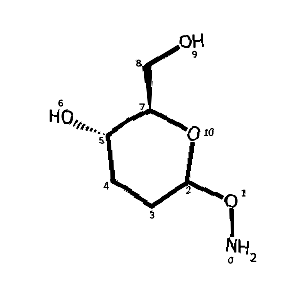 NOC1CC[C@H](O)[C@@H](CO)O1